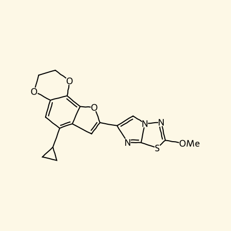 COc1nn2cc(-c3cc4c(C5CC5)cc5c(c4o3)OCCO5)nc2s1